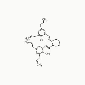 C=CCc1cc(C=NC2CCCCC2N=Cc2cc(CC=C)cc(CC=C)c2O)c(O)c(CC=C)c1